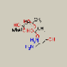 CC(=O)O.CC(=O)O.CC(=O)O.NCC(N)CCO.[Mn].[NaH]